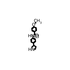 CCOc1ccc(C(=O)Nc2ccc(C3CCNC3)cc2)cc1.Cl